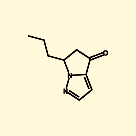 CCCC1CC(=O)c2ccnn21